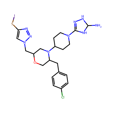 NC1NN=C(N2CCC(N3CC(Cn4cc(SI)nn4)OCC3Cc3ccc(Cl)cc3)CC2)N1